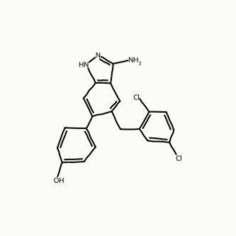 Nc1n[nH]c2cc(-c3ccc(O)cc3)c(Cc3cc(Cl)ccc3Cl)cc12